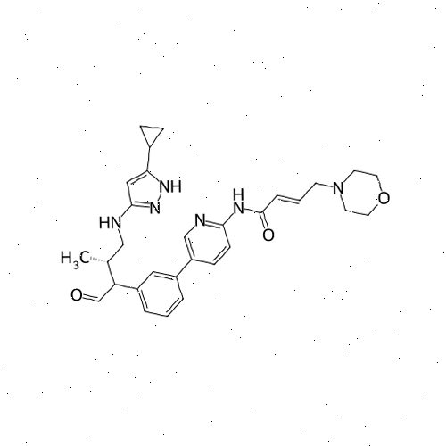 C[C@H](CNc1cc(C2CC2)[nH]n1)C(C=O)c1cccc(-c2ccc(NC(=O)/C=C/CN3CCOCC3)nc2)c1